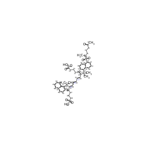 CC(=O)CCCN(C)S(=O)(=O)c1cccc2c3c(ccc12)[N+](CCCS(=O)(=O)O)=C(/C=C/C=C/C=C1/N(CCCS(=O)(=O)O)c2ccc4ccccc4c2C1(C)C)C3(C)C